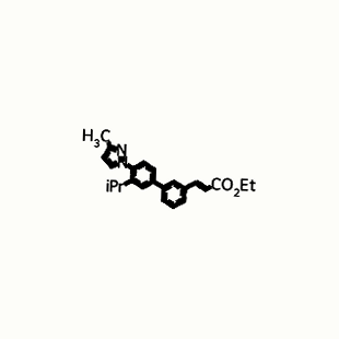 CCOC(=O)/C=C/c1cccc(-c2ccc(-n3ccc(C)n3)c(C(C)C)c2)c1